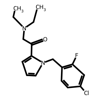 CCN(CC)CC(=O)c1cccn1Cc1ccc(Cl)cc1F